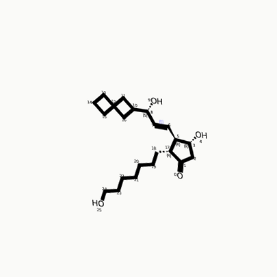 O=C1C[C@@H](O)[C@H](/C=C/[C@@H](O)C2CC3(CCC3)C2)[C@H]1CCCCCCCO